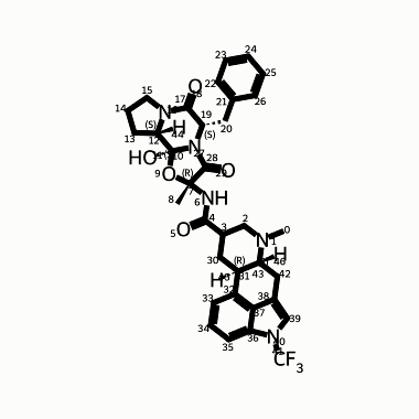 CN1CC(C(=O)N[C@]2(C)O[C@@]3(O)[C@@H]4CCCN4C(=O)[C@H](Cc4ccccc4)N3C2=O)C[C@@H]2c3cccc4c3c(cn4C(F)(F)F)C[C@H]21